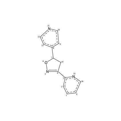 c1ccc(C2=NOC(c3ccncc3)C2)nc1